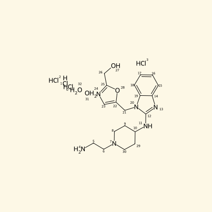 Cl.Cl.Cl.Cl.NCCN1CCC(Nc2nc3ccccc3n2Cc2cnc(CO)o2)CC1.O.O